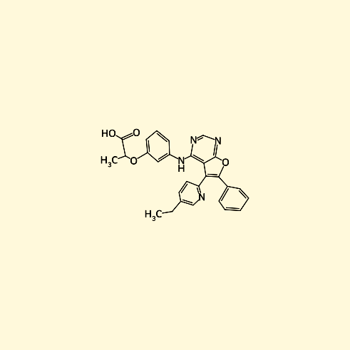 CCc1ccc(-c2c(-c3ccccc3)oc3ncnc(Nc4cccc(OC(C)C(=O)O)c4)c23)nc1